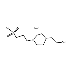 O=S(=O)([O-])CCCN1CCN(CCO)CC1.[Na+]